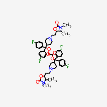 CC1C(CCN2CCC(C(OC(=O)C(=O)OC(c3ccc(F)cc3)(c3ccc(F)cc3)C3CCN(CCC4OC(=O)N(C)C4C)CC3)(c3ccc(F)cc3)c3ccc(F)cc3)CC2)OC(=O)N1C